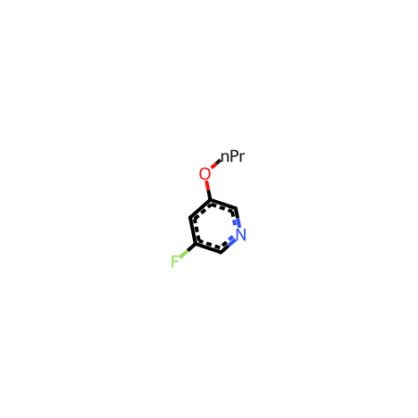 [CH2]CCOc1cncc(F)c1